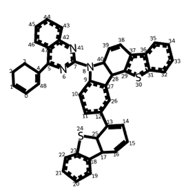 C1=CCCC(c2nc(N3c4ccc(C5=CC=CC6c7ccccc7SC56)cc4C4c5sc6ccccc6c5C=CC43)nc3ccccc23)=C1